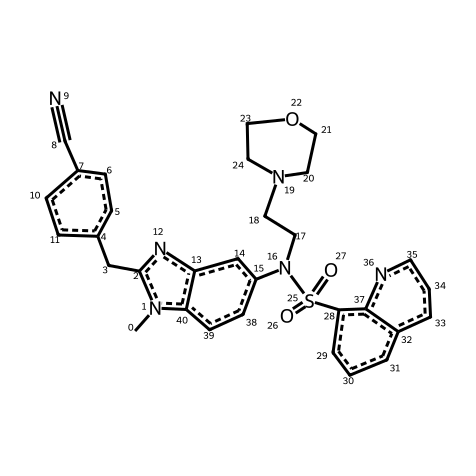 Cn1c(Cc2ccc(C#N)cc2)nc2cc(N(CCN3CCOCC3)S(=O)(=O)c3cccc4cccnc34)ccc21